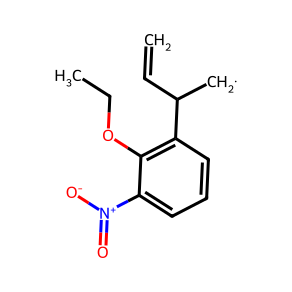 [CH2]C(C=C)c1cccc([N+](=O)[O-])c1OCC